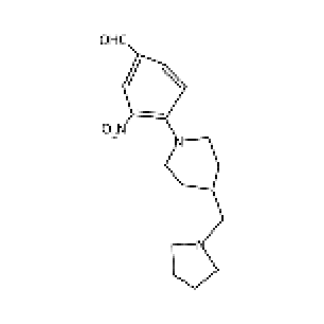 O=Cc1ccc(N2CCC(CN3CCCC3)CC2)c([N+](=O)[O-])c1